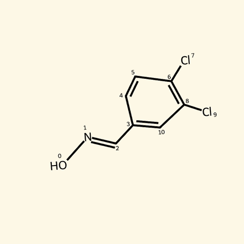 O/N=C/c1ccc(Cl)c(Cl)c1